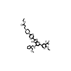 CCOC(=O)CCN1CCN(c2cnc(-c3nc4nc(-c5cnc(OCC)c(C(F)(F)F)c5)cc(N(C)CC5(COC)CCCC5)c4[nH]3)cn2)CC1